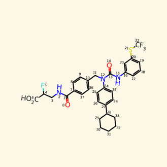 O=C(NCC(F)C(=O)O)c1ccc(CN(C(=O)Nc2cccc(SC(F)(F)F)c2)c2ccc(C3CCCCC3)cc2)cc1